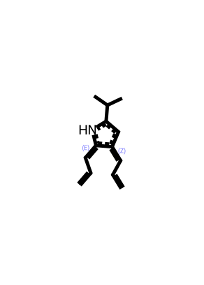 C=C/C=c1/cc(C(C)C)[nH]/c1=C/C=C